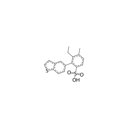 CCc1c(C)ccc(S(=O)(=O)O)c1-c1ccc2sccc2c1